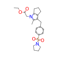 CCOC(=O)Cn1c(C)c(Cc2ccc(S(=O)(=O)N3CCCC3)cc2)c2c1CCC2